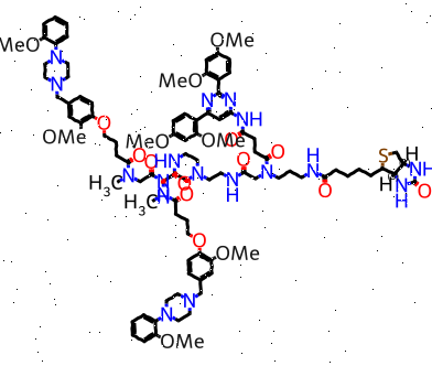 COc1ccc(-c2cc(NC(=O)CCC(=O)N(CCCNC(=O)CCCCC3SC[C@@H]4NC(=O)N[C@H]34)CC(=O)NCCN(CCNC(=O)CN(C)C(=O)CCCOc3ccc(CN4CCN(c5ccccc5OC)CC4)cc3OC)CCNC(=O)CN(C)C(=O)CCCOc3ccc(CN4CCN(c5ccccc5OC)CC4)cc3OC)nc(-c3ccc(OC)cc3OC)n2)c(OC)c1